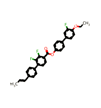 C/C=C/c1ccc(-c2ccc(C(=O)Oc3ccc(-c4ccc(OCC)c(F)c4)cc3)c(F)c2F)cc1